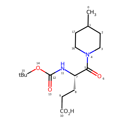 CC1CCN(C(=O)[C@H](CCC(=O)O)NC(=O)OC(C)(C)C)CC1